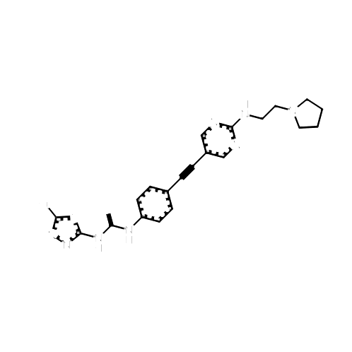 CC(C)(C)c1nnc(NC(=O)Nc2ccc(C#Cc3cnc(NCCN4CCCC4)nc3)cc2)s1